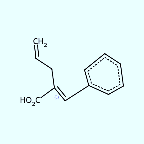 C=CC/C(=C\c1ccccc1)C(=O)O